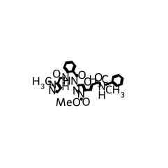 COC(=O)n1nc(NC(=O)c2ccccc2NC(=O)c2ccnn2C)c2oc(C(=O)NC(C)(C)c3ccccc3)cc21